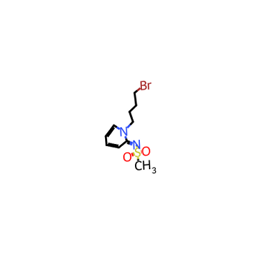 CS(=O)(=O)N=c1ccccn1CCCCBr